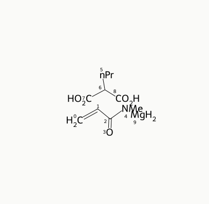 C=CC(=O)NC.CCCC(C(=O)O)C(=O)O.[MgH2]